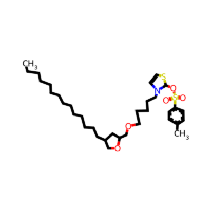 CCCCCCCCCCCCCCC1COC(COCCCCCN2C=CSC2OS(=O)(=O)c2ccc(C)cc2)C1